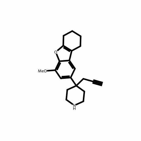 C#CCC1(c2cc(OC)c3oc4c(c3c2)CCCC4)CCNCC1